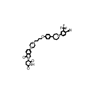 N#Cc1ccc(N2CCCC(c3ccc(OCCCCN4CCN(c5ccc6c(c5)CN(C5CCC(=O)NC5=O)C6=O)CC4)cc3)CC2)cc1C(F)(F)F